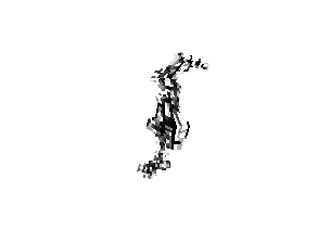 CNC(=O)n1ccc2cc(Oc3ccnc(NC(=O)NCCCC(=O)N4CCCC4)c3)ccc21